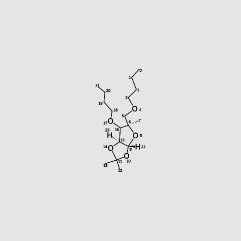 CCCCOC[C@@]1(C)O[C@@H]2OC(C)(C)O[C@H]2C1OCCCC